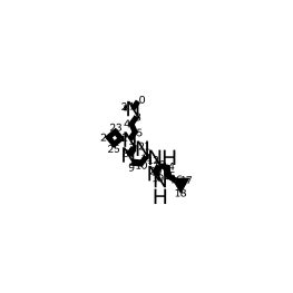 CN(C)CCCN(c1nccc(Nc2cc(C3CC3)[nH]n2)n1)C1CCC1